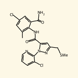 CSCc1cc(C(=O)Nc2c(C)cc(Cl)cc2C(N)=O)n(-c2ncccc2Cl)n1